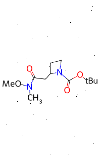 CON(C)C(=O)CC1CCN1C(=O)OC(C)(C)C